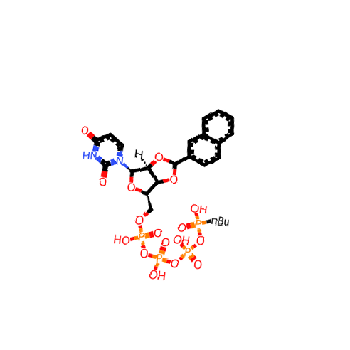 CCCCP(=O)(O)OP(=O)(O)OP(=O)(O)OP(=O)(O)OC[C@H]1O[C@@H](n2ccc(=O)[nH]c2=O)[C@H]2OC(c3ccc4ccccc4c3)OC12